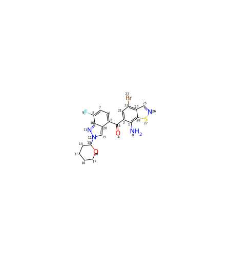 Nc1c(C(=O)c2ccc(F)c3nn(C4CCCCO4)cc23)cc(Br)c2cnsc12